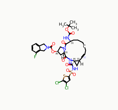 CC(C)(C)OC(=O)N[C@H]1CCCCC/C=C\[C@@H]2C[C@@]2(C(=O)NS(=O)(=O)c2cc(Cl)c(Cl)s2)NC(=O)[C@@H]2C[C@@H](OC(=O)N3Cc4cccc(F)c4C3)CN2C1=O